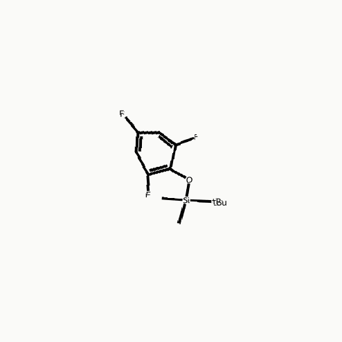 CC(C)(C)[Si](C)(C)Oc1c(F)cc(F)cc1F